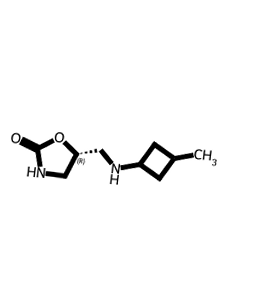 CC1CC(NC[C@@H]2CNC(=O)O2)C1